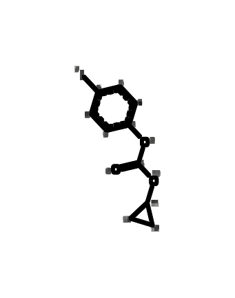 O=C(Oc1ccc(I)cc1)OC1CC1